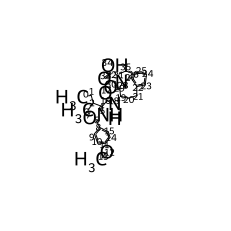 CC[C@H](C)[C@H](NC(=O)c1ccc(OC)cc1)C(=O)N[C@H]1CCc2cccc3c2N(C1=O)[C@H](C(=O)O)C3